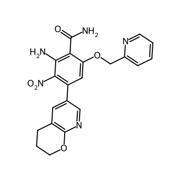 NC(=O)c1c(OCc2ccccn2)cc(-c2cnc3c(c2)CCCO3)c([N+](=O)[O-])c1N